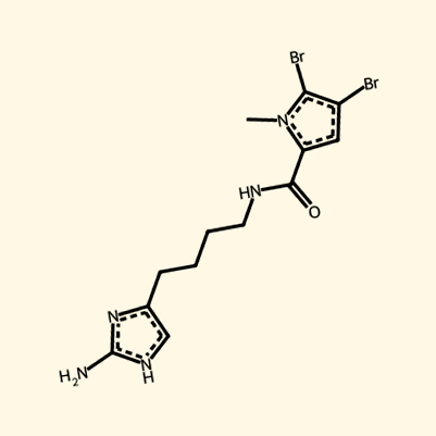 Cn1c(C(=O)NCCCCc2c[nH]c(N)n2)cc(Br)c1Br